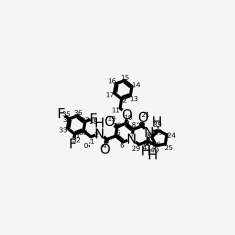 C[C@@H](NC(=O)c1cn2c(c(OCc3ccccc3)c1=O)C(=O)N1[C@H]3CC[C@H](C3)[C@@H]1C2)c1c(F)cc(F)cc1F